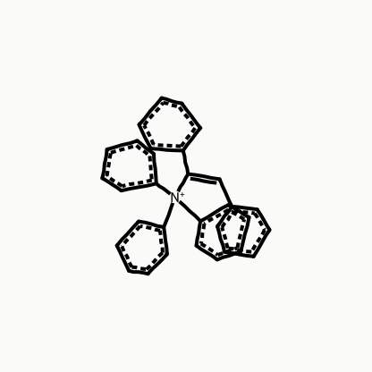 C(=C(c1ccccc1)[N+](c1ccccc1)(c1ccccc1)c1ccccc1)c1ccccc1